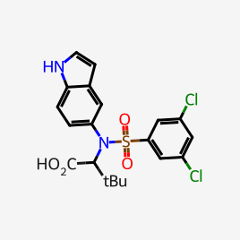 CC(C)(C)C(C(=O)O)N(c1ccc2[nH]ccc2c1)S(=O)(=O)c1cc(Cl)cc(Cl)c1